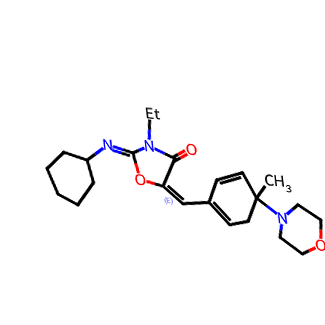 CCN1C(=O)/C(=C\C2=CCC(C)(N3CCOCC3)C=C2)OC1=NC1CCCCC1